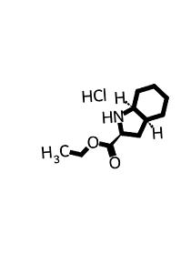 CCOC(=O)[C@@H]1C[C@@H]2CCCC[C@@H]2N1.Cl